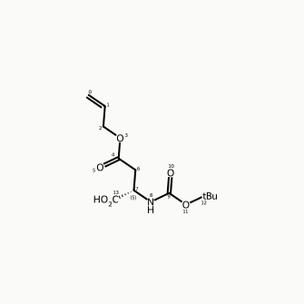 C=CCOC(=O)C[C@H](NC(=O)OC(C)(C)C)C(=O)O